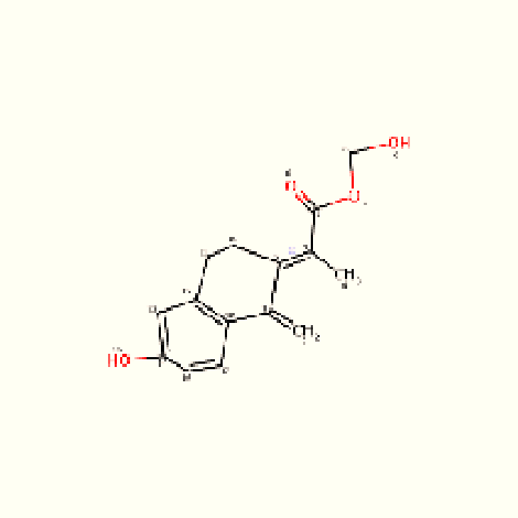 C=C1/C(=C(\C)C(=O)OCO)CCc2cc(O)ccc21